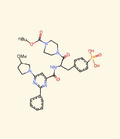 CCCCOC(=O)N1CCN(C(=O)C(Cc2ccc(P(=O)(O)O)cc2)NC(=O)c2cc(N3CCC(OC)C3)nc(-c3ccccc3)n2)CC1